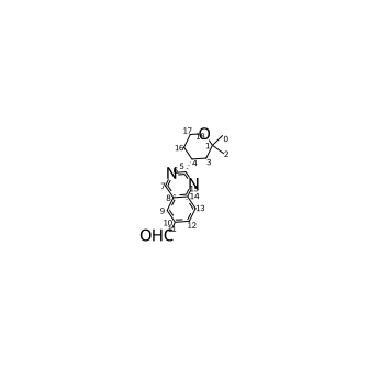 CC1(C)C[C@H](c2ncc3cc(C=O)ccc3n2)CCO1